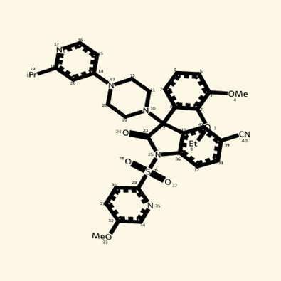 CCOc1c(OC)cccc1C1(N2CCN(c3ccnc(C(C)C)c3)CC2)C(=O)N(S(=O)(=O)c2ccc(OC)cn2)c2ccc(C#N)cc21